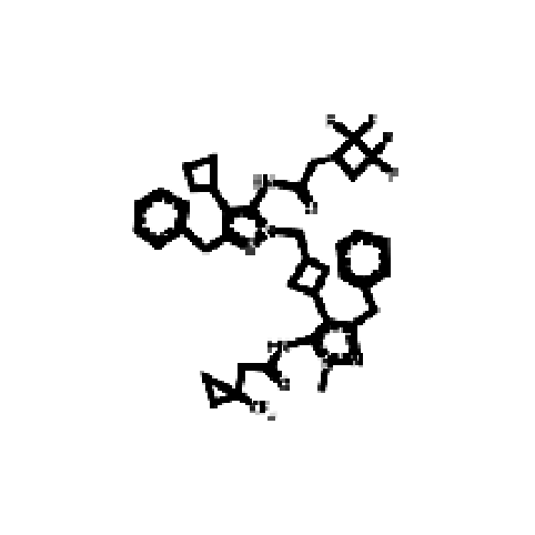 Cn1nc(Cc2ccccc2)c(C2CC(Cn3nc(Cc4ccccc4)c(C4CCC4)c3NC(=O)C[C@@H]3CC(F)(F)C3(F)F)C2)c1NC(=O)CC1(C(F)(F)F)CC1